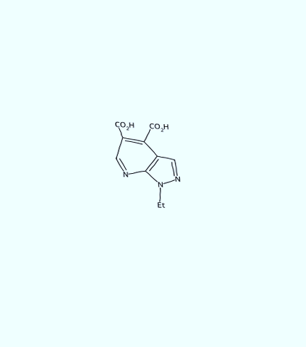 CCn1ncc2c(C(=O)O)c(C(=O)O)cnc21